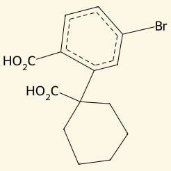 O=C(O)c1ccc(Br)cc1C1(C(=O)O)CCCCC1